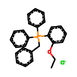 CCOc1ccccc1[P+](Cc1ccccc1)(c1ccccc1)c1ccccc1.[Cl-]